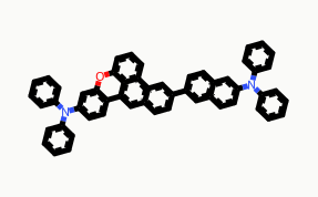 c1ccc(N(c2ccccc2)c2ccc3c(c2)Oc2cccc4c2c-3cc2ccc(-c3ccc5cc(N(c6ccccc6)c6ccccc6)ccc5c3)cc24)cc1